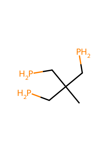 CC(CP)(CP)CP